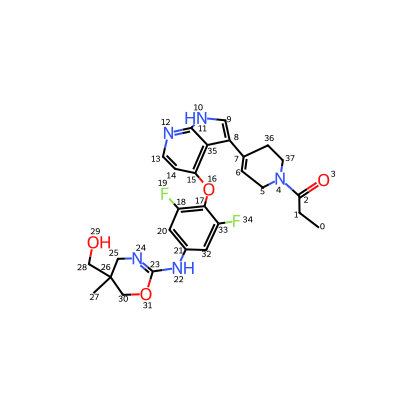 CCC(=O)N1CC=C(c2c[nH]c3nccc(Oc4c(F)cc(NC5=NCC(C)(CO)CO5)cc4F)c23)CC1